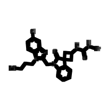 CC(C)NC(=O)NC1CC2(C1)C(=O)N(Cc1nc3cc(Cl)ccc3n1CCCC#N)c1ccccc12